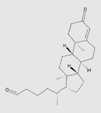 C[C@H](CCCC=O)[C@H]1CC[C@H]2[C@@H]3CCC4=CC(=O)CC[C@]4(C)[C@H]3CC[C@]12C